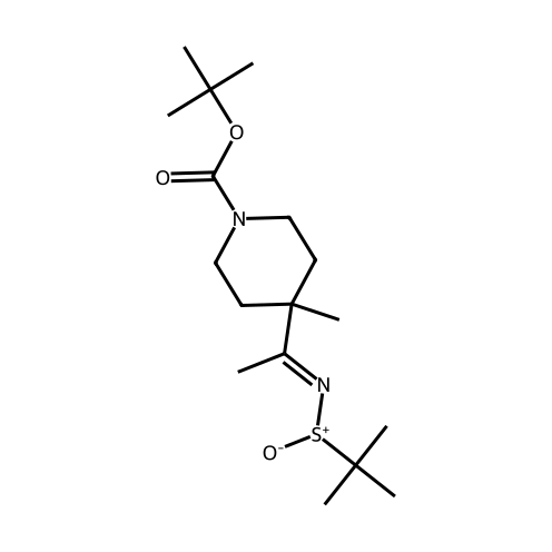 CC(=N[S+]([O-])C(C)(C)C)C1(C)CCN(C(=O)OC(C)(C)C)CC1